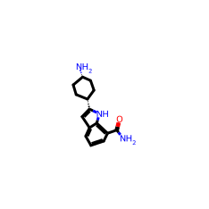 NC(=O)c1cccc2cc([C@H]3CC[C@@H](N)CC3)[nH]c12